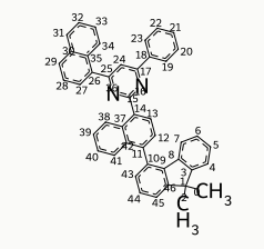 CC1(C)c2ccccc2-c2c(-c3ccc(-c4nc(-c5ccccc5)cc(-c5cccc6ccccc56)n4)c4ccccc34)cccc21